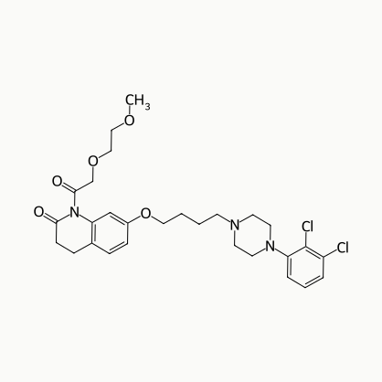 COCCOCC(=O)N1C(=O)CCc2ccc(OCCCCN3CCN(c4cccc(Cl)c4Cl)CC3)cc21